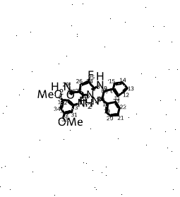 COc1cc(Nc2nc(N[C@H](c3ccccc3)[C@@H](N)c3ccccc3)c(F)cc2C(N)=O)cc(OC)c1